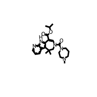 CC(C)OC(=O)C1=CN(C(=O)N2CCCN(C)CC2)CC(C)(C)c2c1[nH]c1ncccc21